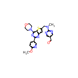 COc1ccc(-c2nc(N3CCOCC3)c3sc(CN(C)c4ncc(C=O)cn4)cc3n2)cn1